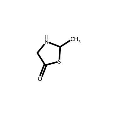 CC1NCC(=O)S1